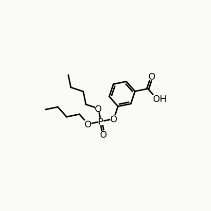 CCCCOP(=O)(OCCCC)Oc1cccc(C(=O)O)c1